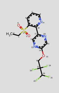 CCS(=O)(=O)c1cccnc1-c1cnc(OCC(F)(F)C(F)F)cn1